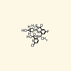 C[C@@H](Nc1ccc(Cl)nc1C(=O)O)c1cc(F)cc2c(=O)n(C)c(N3C[C@@H]4C(O)[C@@H]4C3)nc12